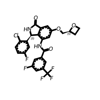 O=C(Nc1cc(OC[C@@H]2CCO2)cc2c1[C@@H](c1cc(F)ccc1Cl)NC2=O)c1cc(F)cc(C(F)(F)F)c1